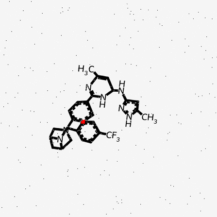 CC1=CC(Nc2cc(C)[nH]n2)NC(c2ccc(N3CC4CC(C3)N4Cc3ccc(C(F)(F)F)cc3)nc2)=N1